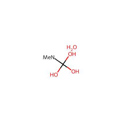 CNC(O)(O)O.O